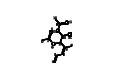 C=CC=C(C)C(OC(C)=O)C(Cl)OC(C)=O